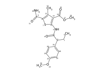 CCC(C(=O)Nc1sc(C(N)=O)c(C)c1C(=O)OC)c1ccc(OC)cc1